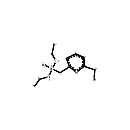 CCO[PH](O)(Cc1cccc(CBr)n1)OCC